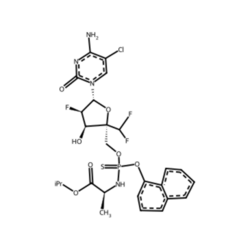 CC(C)OC(=O)[C@H](C)NP(=S)(OC[C@@]1(C(F)F)O[C@@H](n2cc(Cl)c(N)nc2=O)[C@H](F)[C@@H]1O)Oc1cccc2ccccc12